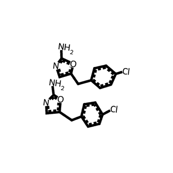 Nc1ncc(Cc2ccc(Cl)cc2)o1.Nc1ncc(Cc2ccc(Cl)cc2)o1